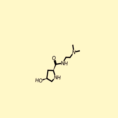 CN(C)CCNC(=O)[C@@H]1C[C@H](O)CN1